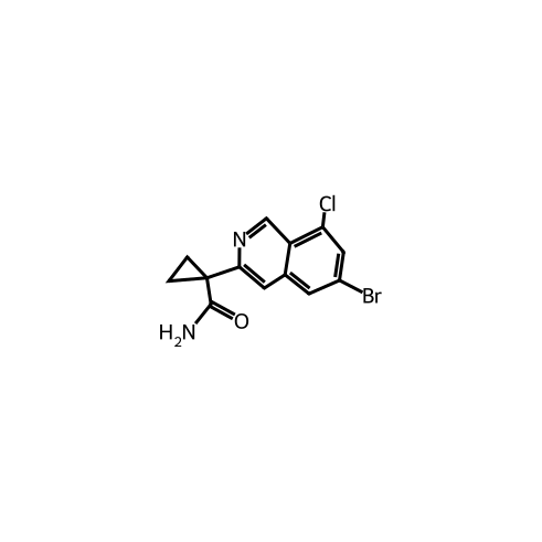 NC(=O)C1(c2cc3cc(Br)cc(Cl)c3cn2)CC1